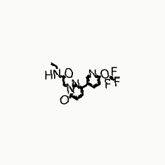 CCNC(=O)Cn1nc(-c2ccc(OC(F)(F)F)nc2)ccc1=O